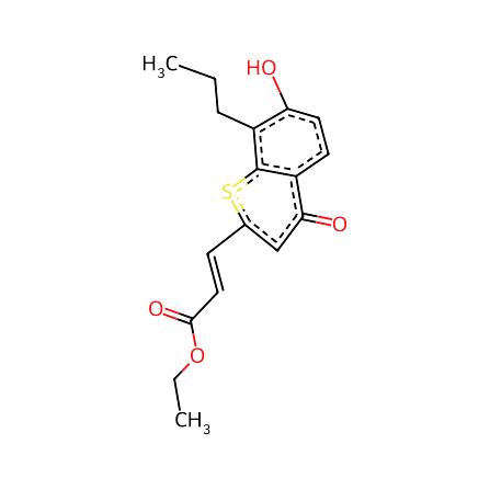 CCCc1c(O)ccc2c(=O)cc(/C=C/C(=O)OCC)sc12